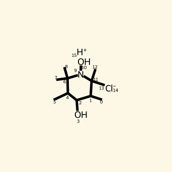 CC1C(O)C(C)C(C)(C)N(O)C1(C)C.[Cl-].[H+]